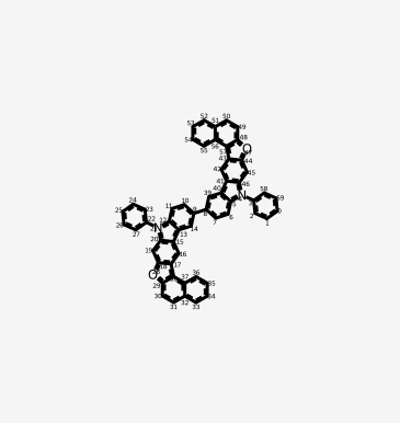 c1ccc(-n2c3ccc(-c4ccc5c(c4)c4cc6c(cc4n5-c4ccccc4)oc4ccc5ccccc5c46)cc3c3cc4c(cc32)oc2ccc3ccccc3c24)cc1